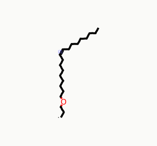 [CH2]CCOCCCCCCCC/C=C\CCCCCCCC